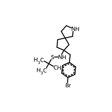 CC(C)(C)SNC1(Cc2ccc(Br)cc2)CCC2(CCNC2)C1